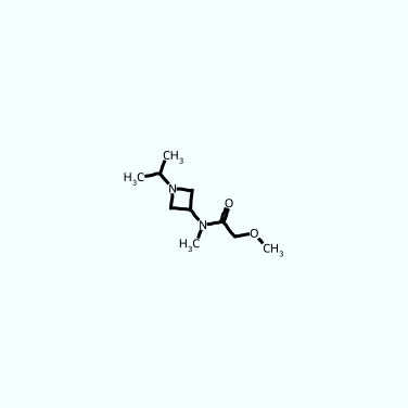 COCC(=O)N(C)C1CN(C(C)C)C1